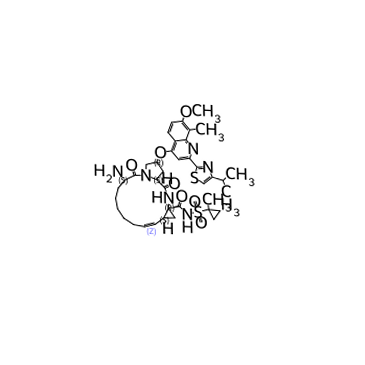 COc1ccc2c(O[C@@H]3C[C@H]4C(=O)N[C@]5(C(=O)NS(=O)(=O)C6(C)CC6)C[C@H]5/C=C\CCCCC[C@H](N)C(=O)N4C3)cc(-c3nc(C(C)C)cs3)nc2c1C